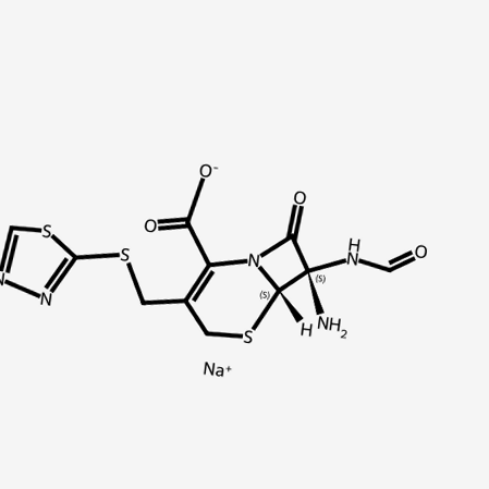 N[C@]1(NC=O)C(=O)N2C(C(=O)[O-])=C(CSc3nncs3)CS[C@H]21.[Na+]